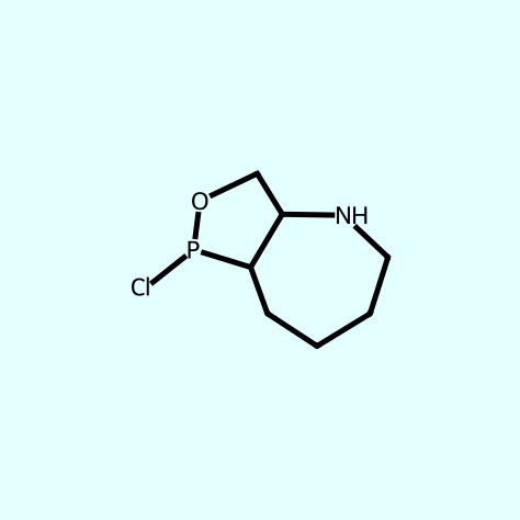 ClP1OCC2NCCCCC21